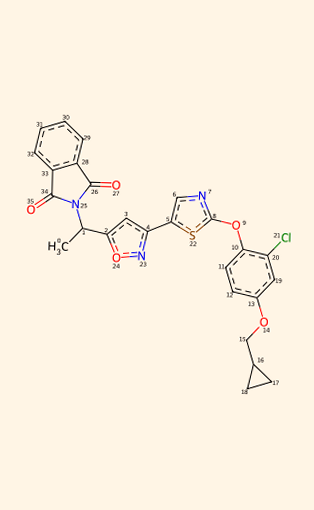 CC(c1cc(-c2cnc(Oc3ccc(OCC4CC4)cc3Cl)s2)no1)N1C(=O)c2ccccc2C1=O